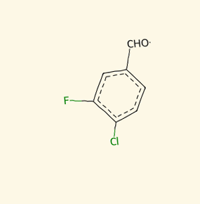 O=[C]c1ccc(Cl)c(F)c1